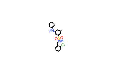 O=S(=O)(NCc1ccccc1Cl)c1c[c]cc(Nc2ccccc2)c1